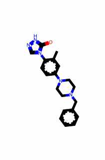 Cc1cc(N2CCN(Cc3ccccc3)CC2)ccc1-n1cn[nH]c1=O